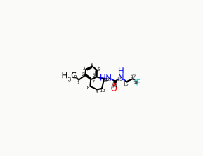 CCc1cccc2c1CCCC2NC(=O)NCCF